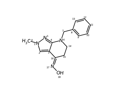 Cn1cc2c(n1)N(Cc1ccccc1)CC/C2=N\O